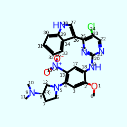 COc1cc(N2CC[C@@H](N(C)C)C2)c([N+](=O)[O-])cc1Nc1ncc(Cl)c(-c2c[nH]c3ccccc23)n1